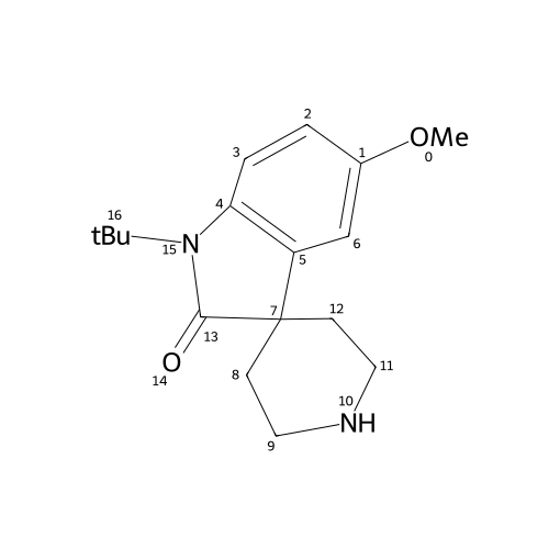 COc1ccc2c(c1)C1(CCNCC1)C(=O)N2C(C)(C)C